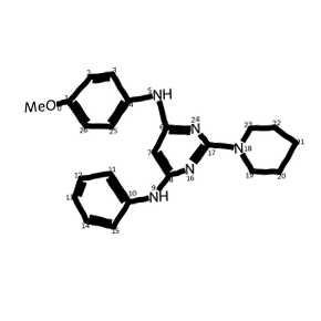 COc1ccc(Nc2cc(Nc3ccccc3)nc(N3CCCCC3)n2)cc1